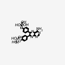 Nc1ncnc2nc(-c3ccc(O[PH](O)(O)O)cc3)c(-c3ccc(O[PH](O)(O)O)cc3)nc12